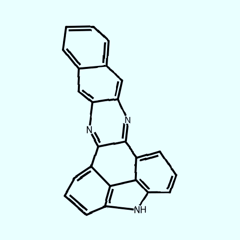 c1ccc2cc3nc4c5cccc6[nH]c7cccc(c4nc3cc2c1)c7c65